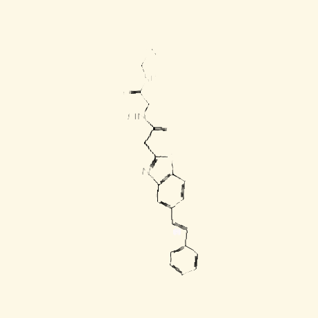 N#CCNC(=O)CNC(=O)Cc1nc2cc(/C=C/c3ccccc3)ccc2s1